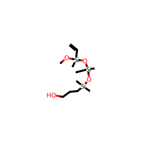 C=C[Si](C)(OC)O[Si](C)(C)O[Si](C)(C)CCCO